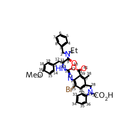 CCN(Cc1ccccc1)C(=O)[C@H](Cc1ccc(OC)cc1)Nc1nc2c(Br)cc(CN(C(=O)O)c3ccccc3)c(C)c2c(=O)o1